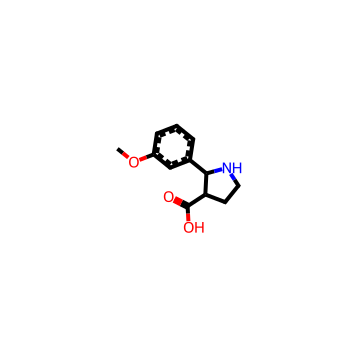 COc1cccc(C2NCCC2C(=O)O)c1